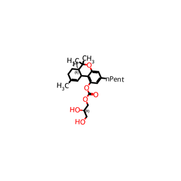 CCCCCc1cc(OC(=O)OC[C@H](O)CO)c2c(c1)OC(C)(C)[C@@H]1CCC(C)=CC21